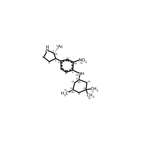 [CH2]C(=O)[C@H]1NCCC1c1ccc(N[C@@H]2C[C@H](C)CC(C)(C)C2)c([N+](=O)[O-])c1